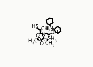 C1CCC(NC2CCCCC2)CC1.COC(=O)[C@@H](C(C)C)N(CC(=O)O)C(=O)[C@H](C)CS